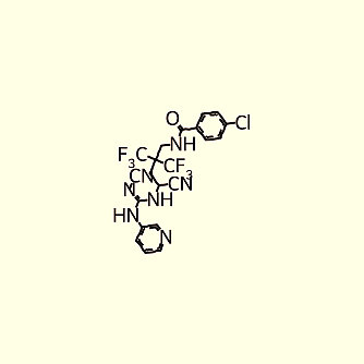 N#CN=C(Nc1cccnc1)NC(C#N)CC(CNC(=O)c1ccc(Cl)cc1)(C(F)(F)F)C(F)(F)F